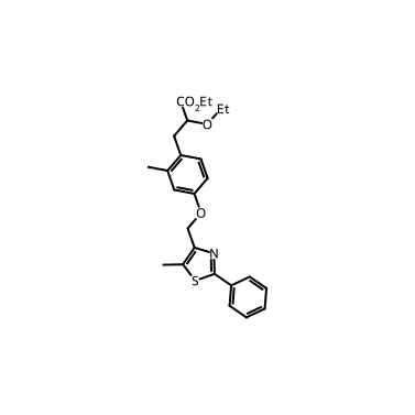 CCOC(=O)C(Cc1ccc(OCc2nc(-c3ccccc3)sc2C)cc1C)OCC